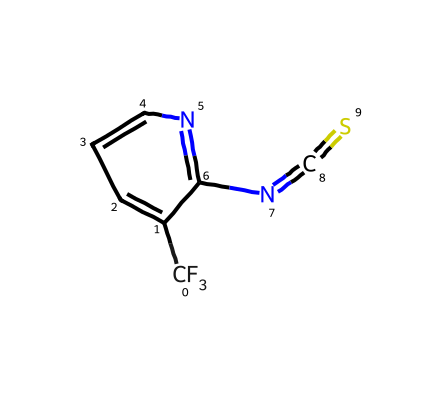 FC(F)(F)c1cccnc1N=C=S